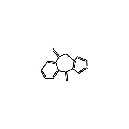 C=C1c2cnccc2CC(=O)c2ccccc21